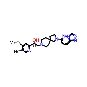 COc1cc([C@H](O)CN2CCC3(CC2)CCN(c2ccc4nncn4n2)C3)ncc1C#N